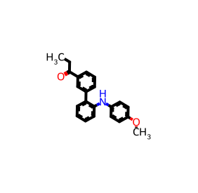 CCC(=O)c1cccc(-c2ccccc2Nc2ccc(OC)cc2)c1